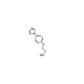 CC(C)(C)CCOc1ccc(-n2ccnc2)cc1